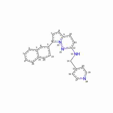 c1ccc2cc(-c3ccc4ccc(NCc5ccncc5)nn34)ccc2c1